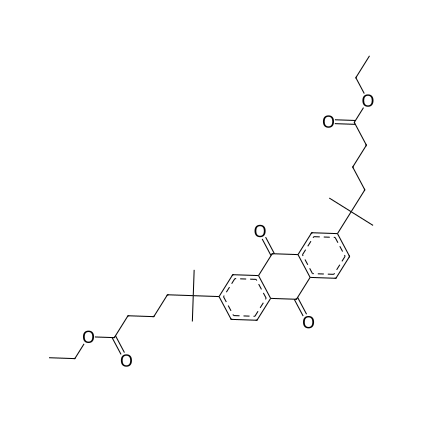 CCOC(=O)CCCC(C)(C)c1ccc2c(c1)C(=O)c1cc(C(C)(C)CCCC(=O)OCC)ccc1C2=O